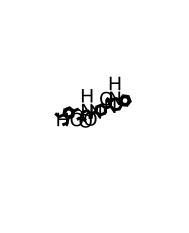 CCc1ccc(C[C@@H](NC(=O)N2CCC(N3CCc4ccccc4NC3=O)CC2)C(=O)O)cc1CC